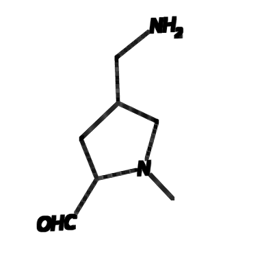 CN1CC(CN)CC1C=O